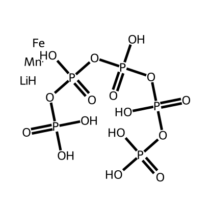 O=P(O)(O)OP(=O)(O)OP(=O)(O)OP(=O)(O)OP(=O)(O)O.[Fe].[LiH].[Mn]